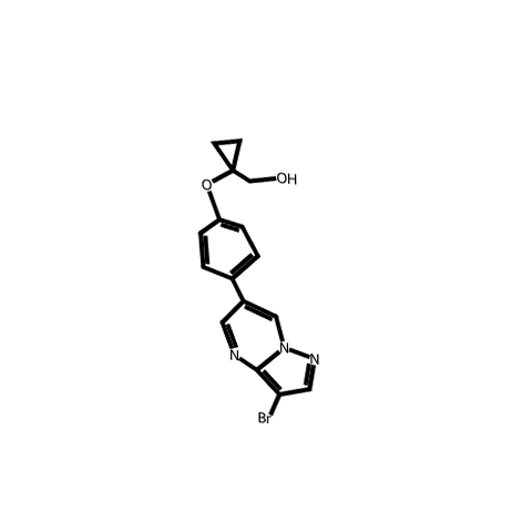 OCC1(Oc2ccc(-c3cnc4c(Br)cnn4c3)cc2)CC1